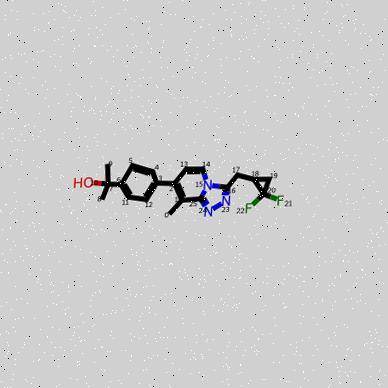 Cc1c(-c2ccc(C(C)(C)O)cc2)ccn2c(CC3CC3(F)F)nnc12